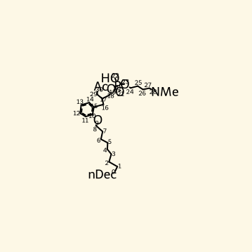 CCCCCCCCCCCCCCCCCCOc1ccccc1CC(COP(=O)(O)OCCCCNC)CC(C)=O